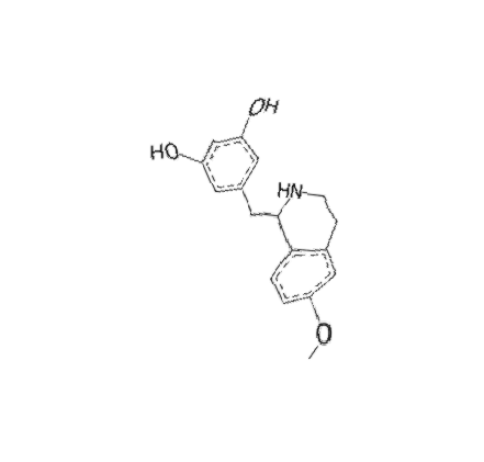 COc1ccc2c(c1)CCNC2Cc1cc(O)cc(O)c1